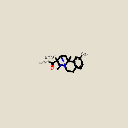 CCCCCC(=O)C1(C(=O)OCC)CC2C3Cc4ccc(OC)cc4C2(C)CC1N3C